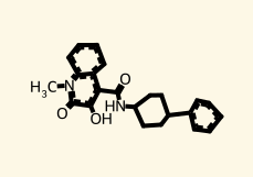 Cn1c(=O)c(O)c(C(=O)NC2CCC(c3ccccc3)CC2)c2ccccc21